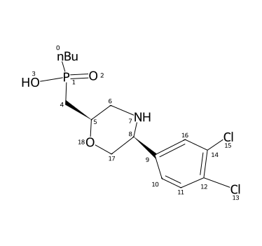 CCCCP(=O)(O)C[C@H]1CN[C@@H](c2ccc(Cl)c(Cl)c2)CO1